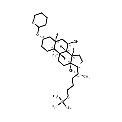 C[C@H](CCCO[Si](C)(C)C(C)(C)C)[C@H]1CC[C@H]2[C@@H]3[C@H](O)C[C@H]4C[C@@H](OC5CCCCO5)CC[C@]4(C)[C@H]3CC[C@]12C